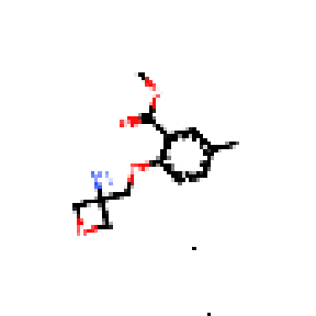 COC(=O)c1cc(C)ccc1OCC1(N)COC1